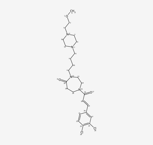 COCCN1CCN(CCCCN2CCN(C(=O)/C=C/c3ccc(Cl)c(Cl)c3)CCC2=O)CC1